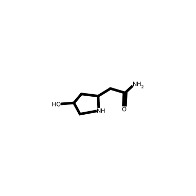 NC(=O)CC1CC(O)CN1